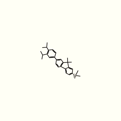 CC(C)c1ccc(-c2ccc3c(c2)C(C)(C)c2cc([Si](C)(C)C)ccc2-3)cc1C(C)C